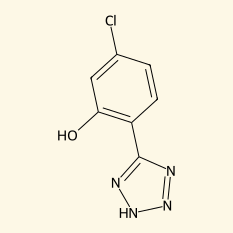 Oc1cc(Cl)ccc1-c1nn[nH]n1